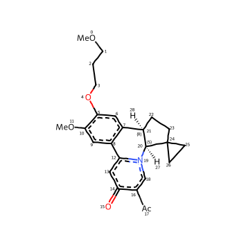 COCCCOc1cc2c(cc1OC)-c1cc(=O)c(C(C)=O)cn1[C@H]1[C@@H]2CCC12CC2